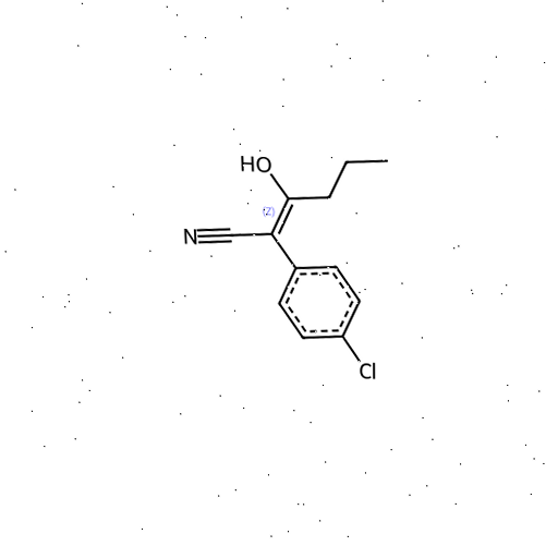 CCC/C(O)=C(/C#N)c1ccc(Cl)cc1